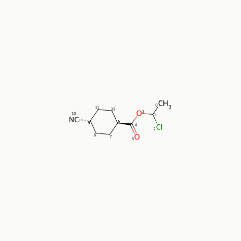 CC(Cl)OC(=O)[C@H]1CC[C@H](C#N)CC1